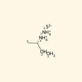 CCO.O.[NH4+].[NH4+].[S-2]